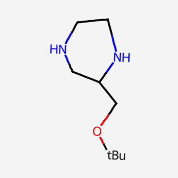 CC(C)(C)OCC1CNCCN1